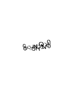 CC1=C(N2CCC3(CCN([C@H](C)[C@@H](O)c4ccc5c(c4C)COC5=O)CC3)C2=O)COC1=O